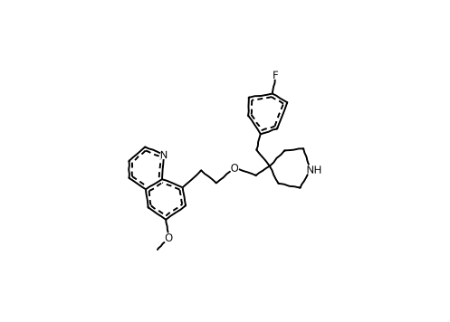 COc1cc(CCOCC2(Cc3ccc(F)cc3)CCNCC2)c2ncccc2c1